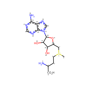 C[S+](CCC(N)C(=O)O)CC1OC(n2cnc3c(N)ncnc32)C(O)C1O